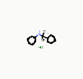 CC(C)(Nc1ccccc1)c1ccccc1.Cl